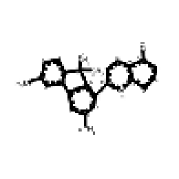 Cc1ccc2c(c1)-c1cc(C)cc(-c3ccc4c(Cl)cccc4n3)c1C2(C)C